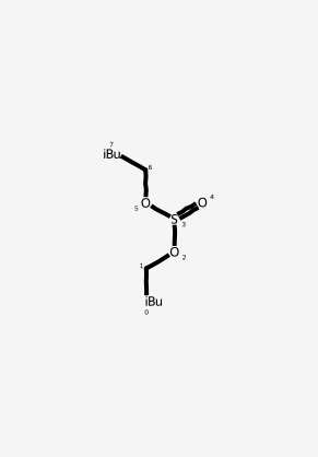 CCC(C)COS(=O)OCC(C)CC